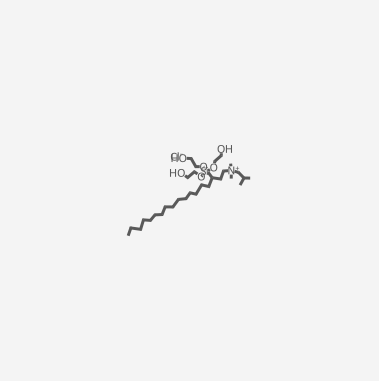 CCCCCCCCCCCCCCCC(CC[N+](C)(C)CC(C)C)[Si](OCCO)(OCCO)OCCO.[Cl-]